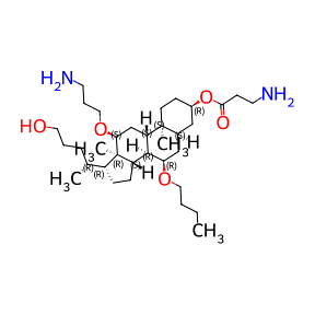 CCCCO[C@@H]1C[C@@H]2C[C@H](OC(=O)CCN)CC[C@]2(C)[C@H]2C[C@H](OCCCN)[C@]3(C)[C@@H]([C@H](C)CCCO)CC[C@H]3[C@H]12